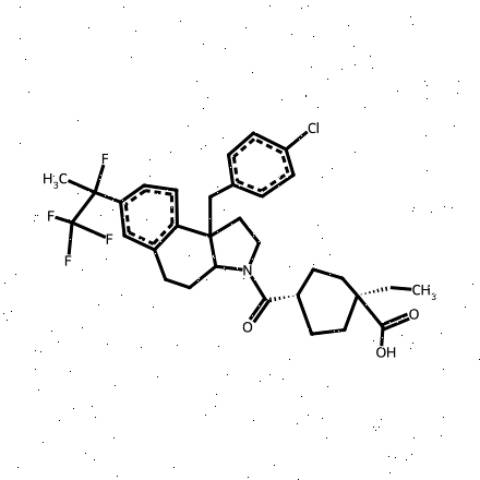 CC[C@]1(C(=O)O)CC[C@H](C(=O)N2CCC3(Cc4ccc(Cl)cc4)c4ccc(C(C)(F)C(F)(F)F)cc4CCC23)CC1